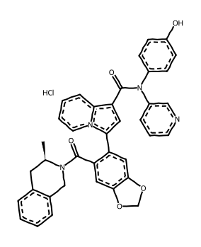 C[C@@H]1Cc2ccccc2CN1C(=O)c1cc2c(cc1-c1cc(C(=O)N(c3ccc(O)cc3)c3cccnc3)c3ccccn13)OCO2.Cl